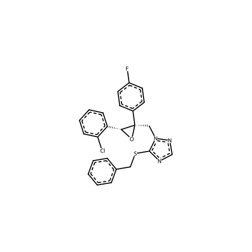 Fc1ccc([C@@]2(Cn3ncnc3SCc3ccccc3)O[C@@H]2c2ccccc2Cl)cc1